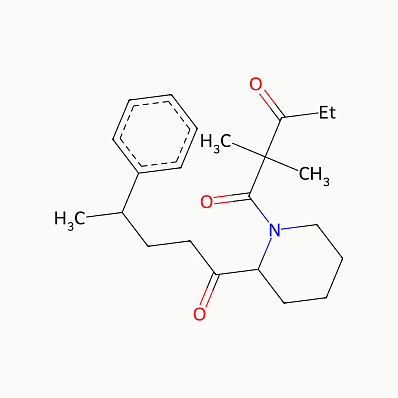 CCC(=O)C(C)(C)C(=O)N1CCCCC1C(=O)CCC(C)c1ccccc1